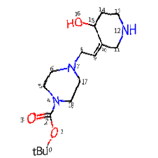 CC(C)(C)OC(=O)N1CCN(CC=C2CNCCC2O)CC1